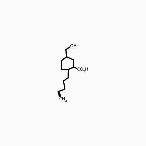 C=CCCCC1CCC(COC(C)=O)CC1C(=O)O